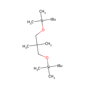 CC(C)(CO[Si](C)(C)C(C)(C)C)CO[Si](C)(C)C(C)(C)C